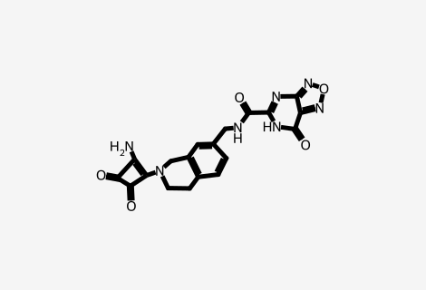 Nc1c(N2CCc3ccc(CNC(=O)c4nc5nonc5c(=O)[nH]4)cc3C2)c(=O)c1=O